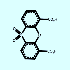 O=C(O)c1cccc2c1Oc1c(C(=O)O)cccc1S2(=O)=O